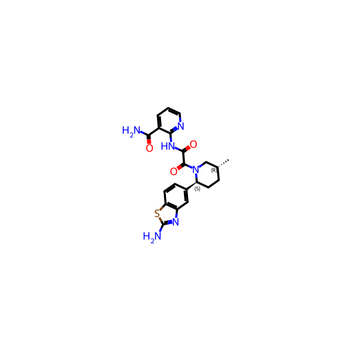 C[C@@H]1CC[C@@H](c2ccc3sc(N)nc3c2)N(C(=O)C(=O)Nc2ncccc2C(N)=O)C1